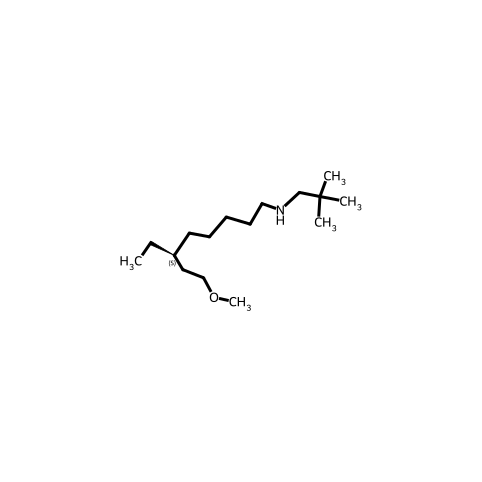 CC[C@@H](CCCCCNCC(C)(C)C)CCOC